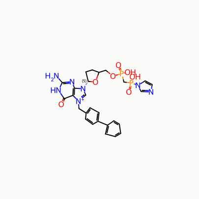 Nc1nc2c(c(=O)[nH]1)[n+](Cc1ccc(-c3ccccc3)cc1)cn2[C@@H]1CCC(COP(=O)(O)CP(=O)(O)n2ccnc2)O1